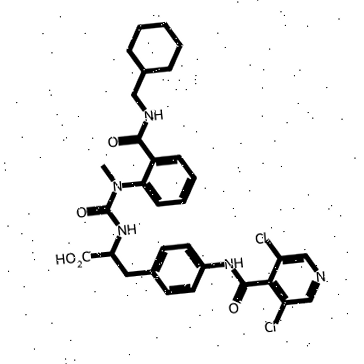 CN(C(=O)NC(Cc1ccc(NC(=O)c2c(Cl)cncc2Cl)cc1)C(=O)O)c1ccccc1C(=O)NCC1CCCCC1